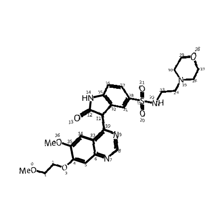 COCCOc1cc2ncnc(C3C(=O)Nc4ccc(S(=O)(=O)NCCN5CCOCC5)cc43)c2cc1OC